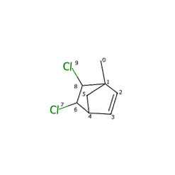 CC12C=CC(C1)C(Cl)C2Cl